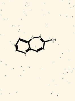 OC1=NOc2cccnc2C=C1